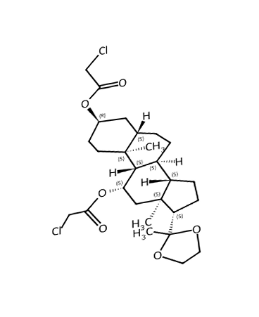 CC1([C@H]2CC[C@H]3[C@@H]4CC[C@H]5C[C@H](OC(=O)CCl)CC[C@]5(C)[C@H]4[C@@H](OC(=O)CCl)C[C@]23C)OCCO1